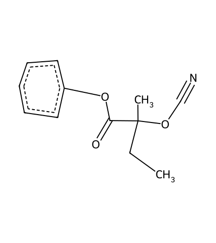 CCC(C)(OC#N)C(=O)Oc1ccccc1